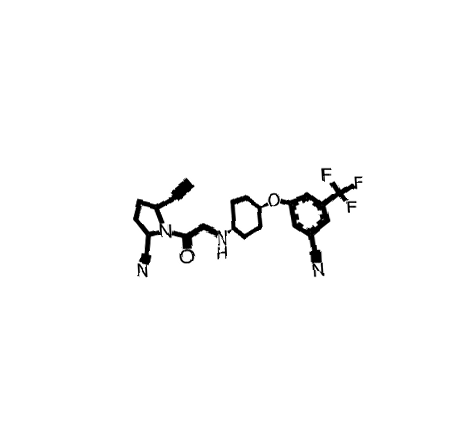 C#CC1CCC(C#N)N1C(=O)CN[C@H]1CC[C@H](Oc2cc(C#N)cc(C(F)(F)F)c2)CC1